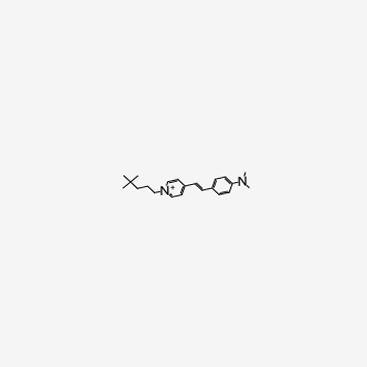 CN(C)c1ccc(/C=C/c2cc[n+](CCCC(C)(C)C)cc2)cc1